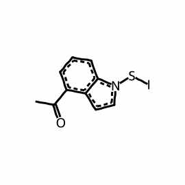 CC(=O)c1cccc2c1ccn2SI